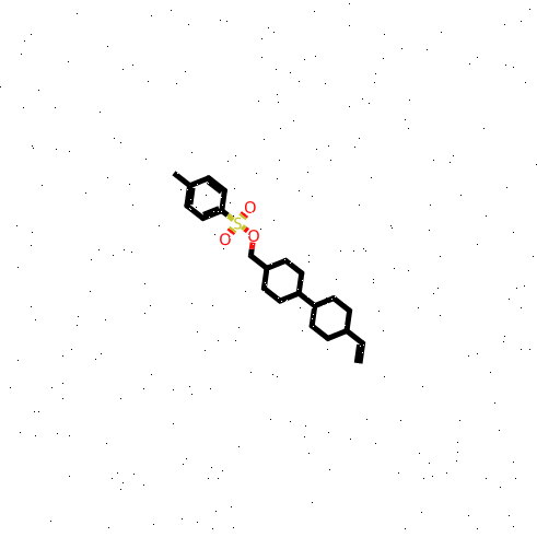 C=CC1CCC(C2CCC(COS(=O)(=O)c3ccc(C)cc3)CC2)CC1